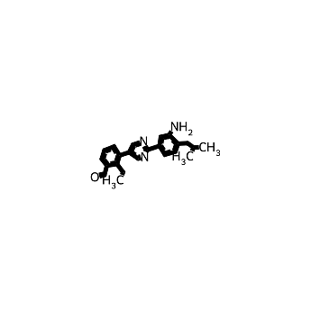 CCc1c(C=O)cccc1-c1cnc(-c2ccc(CC(C)C)c(N)c2)nc1